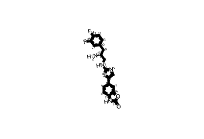 N[C@H](CNc1ncc(-c2ccc3[nH]c(=O)oc3c2)s1)Cc1ccc(F)c(F)c1